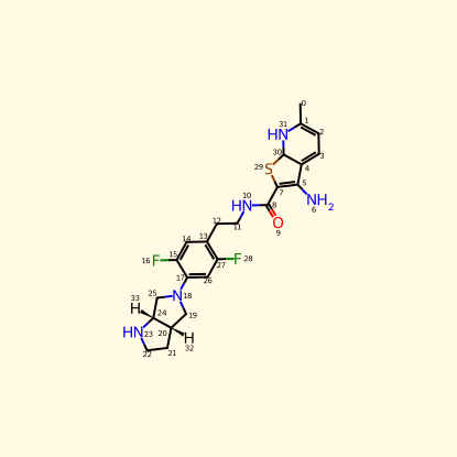 CC1=CC=C2C(N)=C(C(=O)NCCc3cc(F)c(N4C[C@@H]5CCN[C@@H]5C4)cc3F)SC2N1